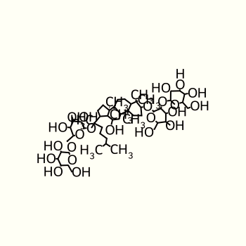 CC(C)CCC[C@](C)(OC1OC(COC2OC(CO)C(O)C(O)C2O)C(O)C(O)C1O)C1CC[C@]2(C)C1C(O)CC1C3(C)CCC(OC4OC(CO)C(O)C(O)C4OC4OC(CO)C(O)C(O)C4O)C(C)(C)C3CCC12C